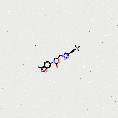 Cc1noc2cc(N3CC(Cn4cc(C#C[Si](C)(C)C)nn4)OC3=O)ccc12